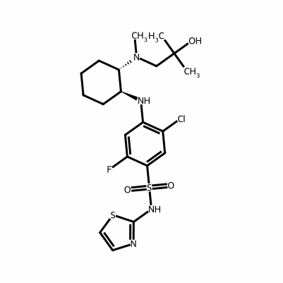 CN(CC(C)(C)O)[C@H]1CCCC[C@@H]1Nc1cc(F)c(S(=O)(=O)Nc2nccs2)cc1Cl